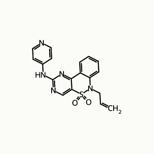 C=CCN1c2ccccc2-c2nc(Nc3ccncc3)ncc2S1(=O)=O